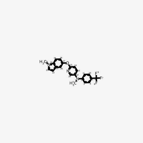 CN(c1ccc(C(F)(F)F)cc1)c1ccc(Oc2ccc3c(c[c]n3C)c2)nc1